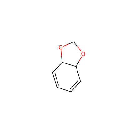 C1=CC2OCOC2C=C1